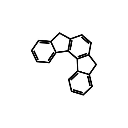 c1ccc2c(c1)Cc1ccc3c(c1-2)-c1ccccc1C3